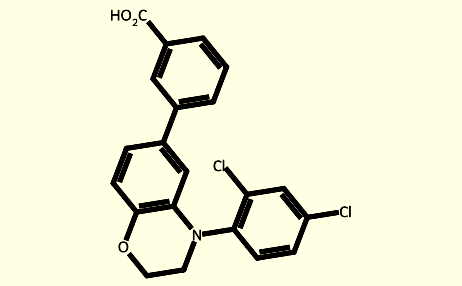 O=C(O)c1cccc(-c2ccc3c(c2)N(c2ccc(Cl)cc2Cl)CCO3)c1